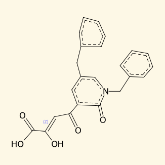 O=C(O)/C(O)=C/C(=O)c1cc(Cc2ccccc2)cn(Cc2ccccc2)c1=O